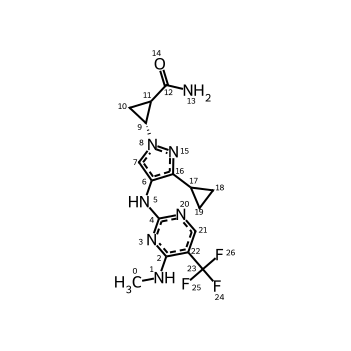 CNc1nc(Nc2cn([C@@H]3CC3C(N)=O)nc2C2CC2)ncc1C(F)(F)F